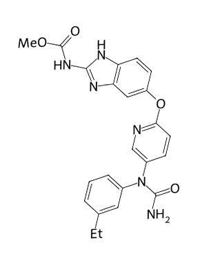 CCc1cccc(N(C(N)=O)c2ccc(Oc3ccc4[nH]c(NC(=O)OC)nc4c3)nc2)c1